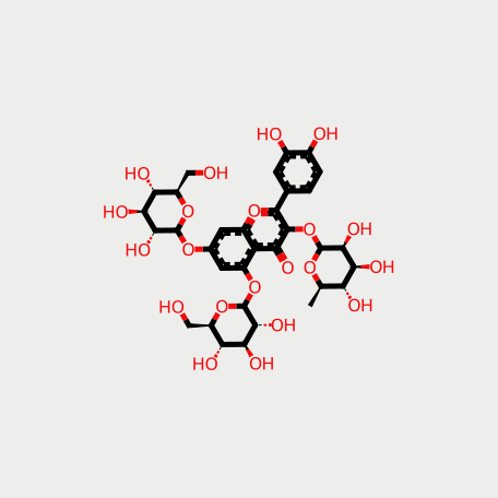 C[C@H]1OC(Oc2c(-c3ccc(O)c(O)c3)oc3cc(OC4O[C@H](CO)[C@@H](O)[C@H](O)[C@H]4O)cc(OC4O[C@H](CO)[C@@H](O)[C@H](O)[C@H]4O)c3c2=O)[C@@H](O)[C@@H](O)[C@@H]1O